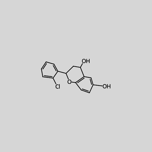 Oc1ccc2c(c1)C(O)CC(c1ccccc1Cl)O2